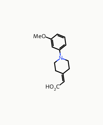 COc1cccc(N2CCC(=CC(=O)O)CC2)c1